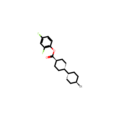 CC[C@H]1CC[C@H]([C@H]2CC[C@H](C(=O)Oc3ccc(F)cc3F)CC2)CC1